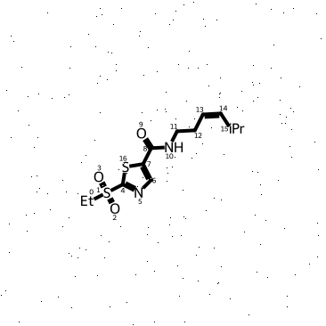 CCS(=O)(=O)c1ncc(C(=O)NCC/C=C\C(C)C)s1